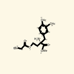 COC(=O)[C@@](N)(CCOC(=O)CC(C)(C)C)Cc1ccc(OC(C)=O)c(OC(C)=O)c1